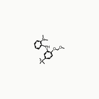 COCOc1ccc([Si](C)(C)C)cc1Pc1ccccc1N(C)C